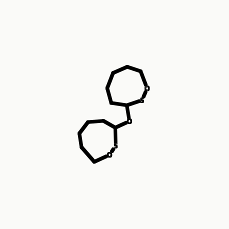 C1CCOSC(OC2CCCCCOS2)CC1